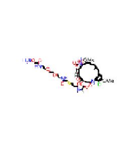 COc1cc2cc(c1Cl)N(C)C(=O)C[C@H](OC(=O)[C@H](C)N(C)C(=O)CCSCC(=O)NCCOCCOCCNC(=O)CON)[C@]1(C)O[C@H]1C(C)[C@@H]1C[C@@](O)(NC(=O)O1)[C@H](OC)/C=C/C=C(\C)C2